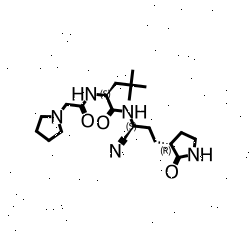 CC(C)(C)C[C@H](NC(=O)CN1CCCC1)C(=O)N[C@H](C#N)CC[C@@H]1CCNC1=O